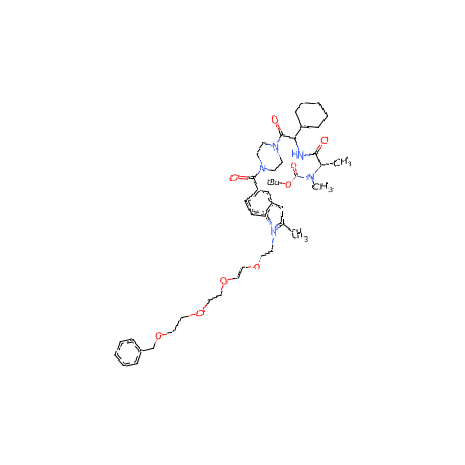 Cc1cc2cc(C(=O)N3CCN(C(=O)C(NC(=O)C(C)N(C)C(=O)OC(C)(C)C)C4CCCCC4)CC3)ccc2n1CCOCCOCCOCCOCc1ccccc1